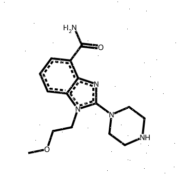 COCCn1c(N2CCNCC2)nc2c(C(N)=O)cccc21